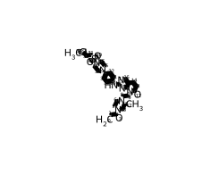 C=CC(=O)N1CCN(CCn2c(=O)ccc3cnc(Nc4ccc(N5CCN(S(=O)(=O)CCOC)CC5)cc4)nc32)[C@@H](C)C1